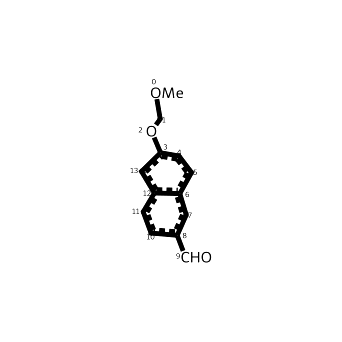 COCOc1ccc2cc(C=O)ccc2c1